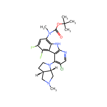 CN1C[C@@H]2CCN(c3c(Cl)cnc4[nH]c5c(N(C)C(=O)OC(C)(C)C)cc(F)c(F)c5c34)[C@@H]2C1